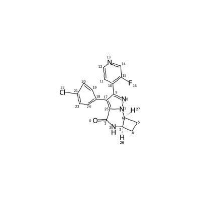 O=C1N[C@@H]2CC[C@@H]2n2nc(-c3ccncc3F)c(-c3ccc(Cl)cc3)c21